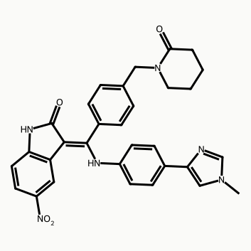 Cn1cnc(-c2ccc(NC(=C3C(=O)Nc4ccc([N+](=O)[O-])cc43)c3ccc(CN4CCCCC4=O)cc3)cc2)c1